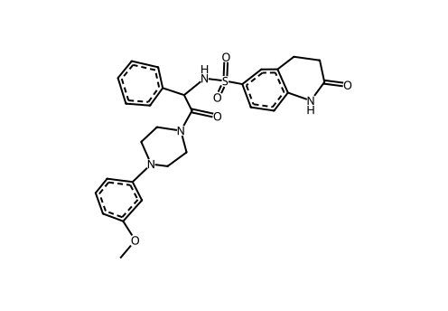 COc1cccc(N2CCN(C(=O)C(NS(=O)(=O)c3ccc4c(c3)CCC(=O)N4)c3ccccc3)CC2)c1